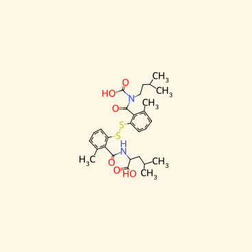 Cc1cccc(SSc2cccc(C)c2C(=O)N(CCC(C)C)C(=O)O)c1C(=O)NC(CC(C)C)C(=O)O